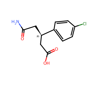 NC(=O)C[C@H](CC(=O)O)c1ccc(Cl)cc1